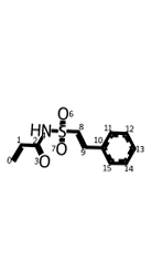 C=CC(=O)NS(=O)(=O)C=Cc1ccccc1